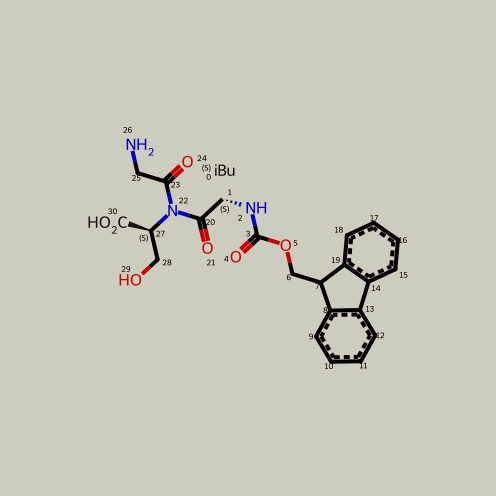 CC[C@H](C)[C@H](NC(=O)OCC1c2ccccc2-c2ccccc21)C(=O)N(C(=O)CN)[C@@H](CO)C(=O)O